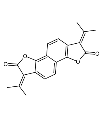 CC(C)=C1C(=O)Oc2c1ccc1c3c(ccc21)C(=C(C)C)C(=O)O3